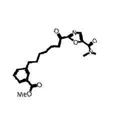 COC(=O)c1cccc(CCCCCCC(=O)c2ncc(C(=O)N(C)C)o2)c1